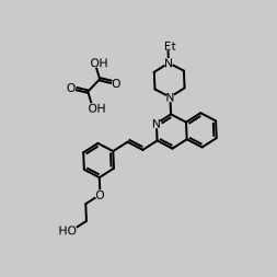 CCN1CCN(c2nc(C=Cc3cccc(OCCO)c3)cc3ccccc23)CC1.O=C(O)C(=O)O